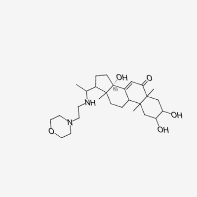 CC(NCCN1CCOCC1)C1CC[C@@]2(O)C3=CC(=O)C4(C)CC(O)C(O)CC4(C)C3CCC12C